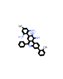 N#Cc1cc(N)c(C2=Cc3c(-c4ccccc4)nc4cc(-c5ccccc5C#N)ccc4c3C(=N)C2=N)c(N)c1